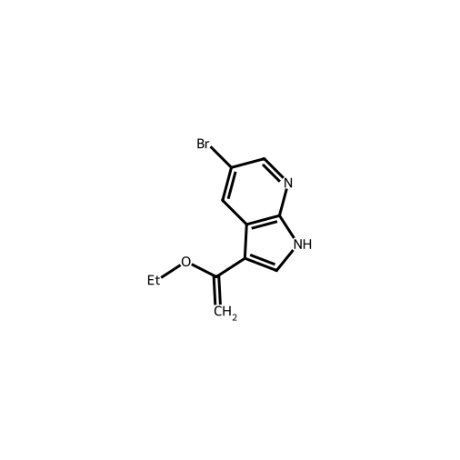 C=C(OCC)c1c[nH]c2ncc(Br)cc12